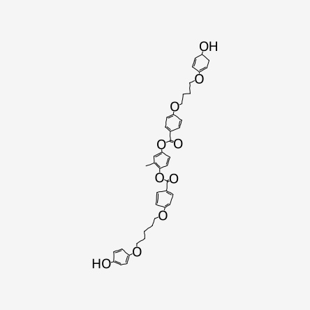 Cc1cc(OC(=O)c2ccc(OCCCCOC3=CCC(O)C=C3)cc2)ccc1OC(=O)c1ccc(OCCCCCOc2ccc(O)cc2)cc1